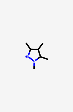 CC1NN(C)C(C)C1C